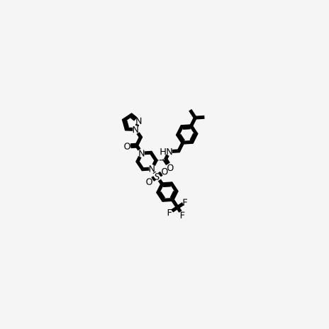 CC(C)c1ccc(CNC(=O)[C@H]2CN(C(=O)Cn3cccn3)CCN2S(=O)(=O)c2ccc(C(F)(F)F)cc2)cc1